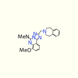 CNc1nc2c(OC)cccc2c2nc(CN3CCc4ccccc4CC3)nn12